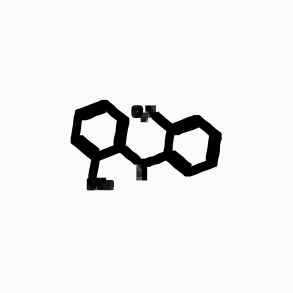 CSc1ccccc1Nc1ccccc1[N+](=O)[O-]